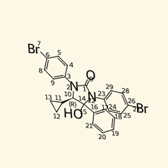 O=C1N(c2ccc(Br)cc2)[C@H](C2CC2)C(O)(c2ccccc2)N1c1ccc(Br)cc1